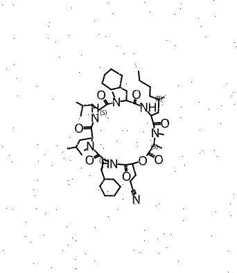 CCCC[C@@H](C)CC1NC(=O)C(CC2CCCCC2)N(C)C(=O)[C@H](CC(C)C)NC(=O)C(CC(C)C)N(C)C(=O)[C@H](CC2CCCCC2)NC(=O)C(CCC#N)OC(=O)[C@H](C)N(C)C1=O